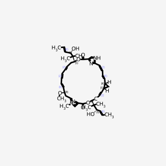 C/C=C/[C@H](O)C(C)(C)[C@@H]1C\C=C/C=C\C=C\[C@H](OC)Cc2nc(cn2C)C(=O)O[C@H](C(C)(C)[C@@H](O)/C=C/C)C/C=C\[C@H]2C[C@H]2/C=C/C=C\c2nc(c[nH]2)C(=O)O1